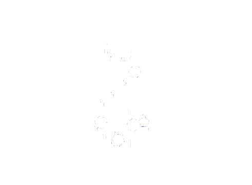 Cc1nc2c(F)cc(-c3nc(Nc4ccc(CN5CCN(C6CN(c7cccc8c7CN(C7CCC(=O)NC7=O)C8=O)C6)CC5)cn4)ncc3F)cc2n1C(C)C